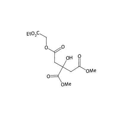 CCOC(=O)COC(=O)CC(O)(CC(=O)OC)C(=O)OC